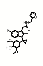 COc1cc(C2(C3C(C)=C(CC(=O)NCc4ccco4)c4cc(F)ccc43)CC2)cc(OC)c1O